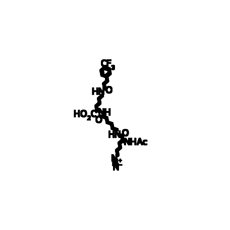 CC(=O)N[C@@H](CCCCN=[N+]=[N-])C(=O)NCCCCCC(=O)N[C@@H](CCCCNC(=O)CCc1ccc(C(F)(F)F)cc1)C(=O)O